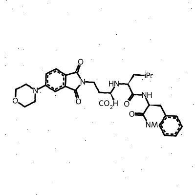 CNC(=O)[C@H](Cc1ccccc1)NC(=O)[C@H](CC(C)C)N[C@H](CCN1C(=O)c2ccc(N3CCOCC3)cc2C1=O)C(=O)O